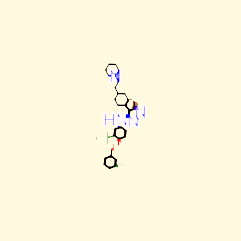 Fc1cccc(COc2ccc(Nc3ncnc4sc5c(c34)CCC(CCN3CCCCC3)C5)cc2Cl)c1